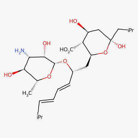 CC(C)/C=C/C=C/[C@@H](C[C@@H]1O[C@](O)(CC(C)C)C[C@H](O)[C@H]1C(=O)O)O[C@@H]1O[C@H](C)[C@@H](O)[C@H](N)[C@@H]1O